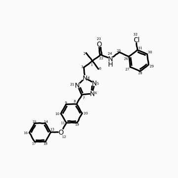 CC(C)(Cn1nnc(-c2ccc(Oc3ccccc3)cc2)n1)C(=O)NCc1ccccc1Cl